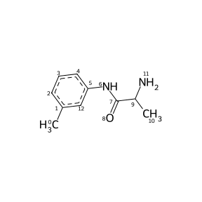 Cc1cccc(NC(=O)C(C)N)c1